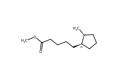 COC(=O)CCCC[C@@H]1CCCN1C